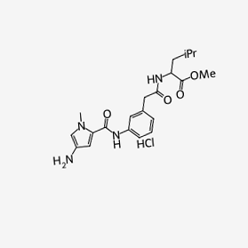 COC(=O)C(CC(C)C)NC(=O)Cc1cccc(NC(=O)c2cc(N)cn2C)c1.Cl